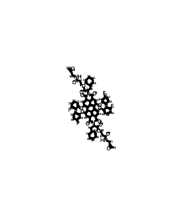 O=C(CCOC(=O)C(Cc1ccccc1)N1C(=O)c2cc(Oc3cccc(F)c3)c3c4c(Oc5cccc(F)c5)cc5c6c(cc(Oc7cccc(F)c7)c(c7c(Oc8cccc(F)c8)cc(c2c37)C1=O)c64)C(=O)N(C(Cc1ccccc1)C(=O)OCCC(=O)NCC1CO1)C5=O)NCC1CO1